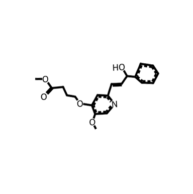 COC(=O)CCCOc1cc(C=CC(O)c2ccccc2)ncc1OC